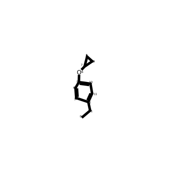 CCc1[c]cc(OC2CC2)cc1